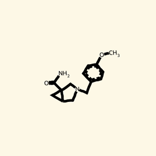 COc1ccc(CN2CC3[CH]C3(C(N)=O)C2)cc1